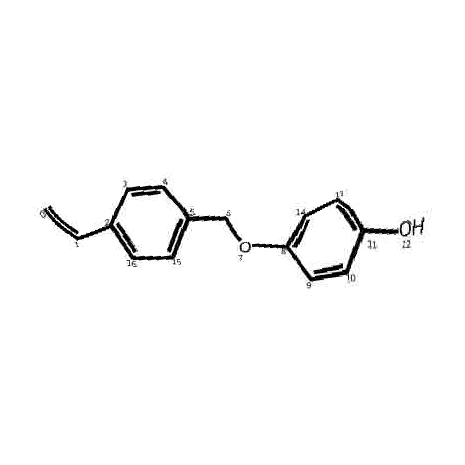 C=Cc1ccc(COc2ccc(O)cc2)cc1